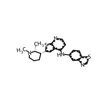 C[C@@H]1[C@H](c2cc3c(Nc4ccc5scnc5c4)ccnc3s2)CCCN1C